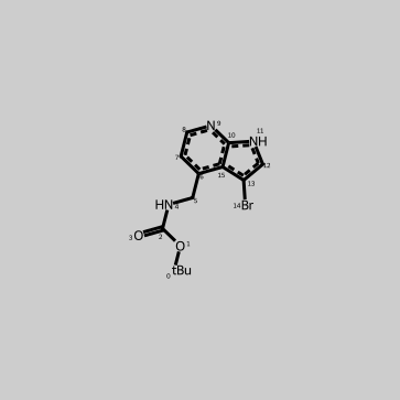 CC(C)(C)OC(=O)NCc1ccnc2[nH]cc(Br)c12